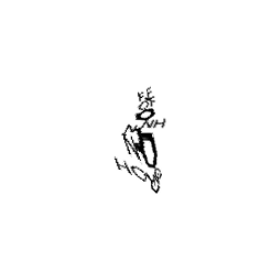 OCC1CCCN1Oc1ccc2c(Nc3ccc(OC(F)(F)F)cc3)ncnc2c1